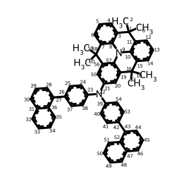 CC1(C)c2cccc3c2N2c4c1cccc4C(C)(C)c1cc(N(c4ccc(-c5cccc6ccccc56)cc4)c4ccc(-c5cccc6ccccc56)cc4)cc(c12)C3(C)C